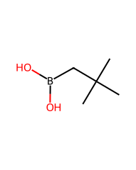 CC(C)(C)CB(O)O